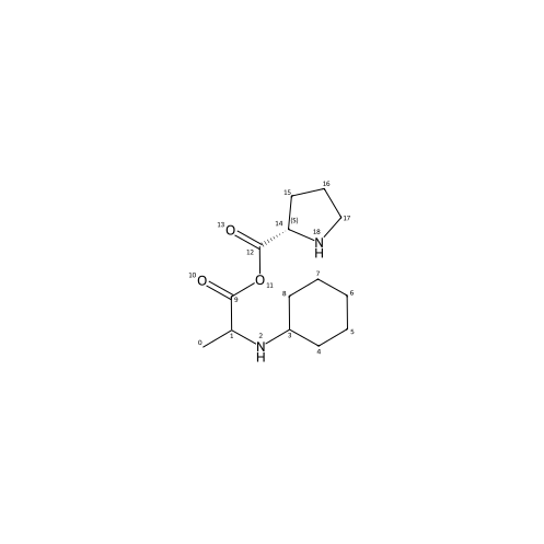 CC(NC1CCCCC1)C(=O)OC(=O)[C@@H]1CCCN1